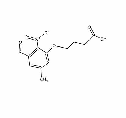 Cc1cc(C=O)c([N+](=O)[O-])c(OCCCC(=O)O)c1